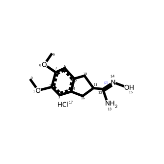 COc1cc2c(cc1OC)CC(/C(N)=N/O)C2.Cl